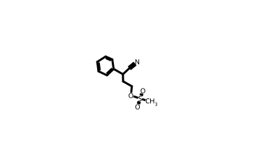 CS(=O)(=O)OCCC(C#N)c1ccccc1